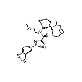 COCCn1c(-c2c[nH]c(-c3ccc4scnc4c3)n2)nc2c(N3CCOC[C@@H]3C)nccc21